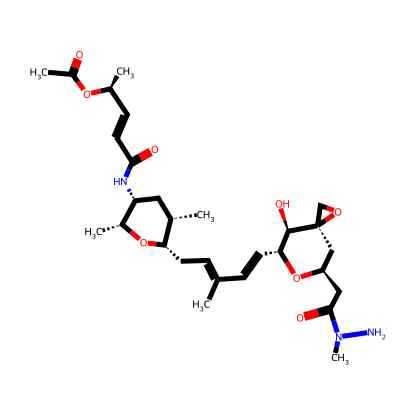 CC(=O)O[C@@H](C)C=CC(=O)N[C@@H]1C[C@H](C)[C@H](CC=C(C)C=C[C@H]2O[C@H](CC(=O)N(C)N)C[C@@]3(CO3)[C@@H]2O)O[C@@H]1C